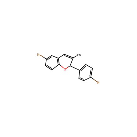 N#CC1=Cc2cc(Br)ccc2OC1c1ccc(Br)cc1